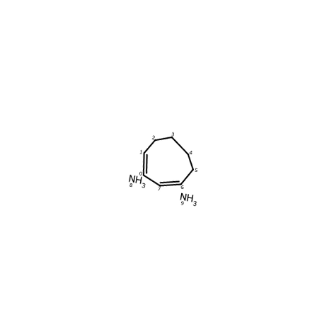 C1=CCCCCC=C1.N.N